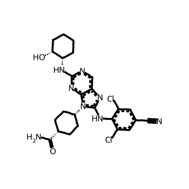 N#Cc1cc(Cl)c(Nc2nc3cnc(N[C@H]4CCCC[C@H]4O)nc3n2[C@H]2CC[C@@H](C(N)=O)CC2)c(Cl)c1